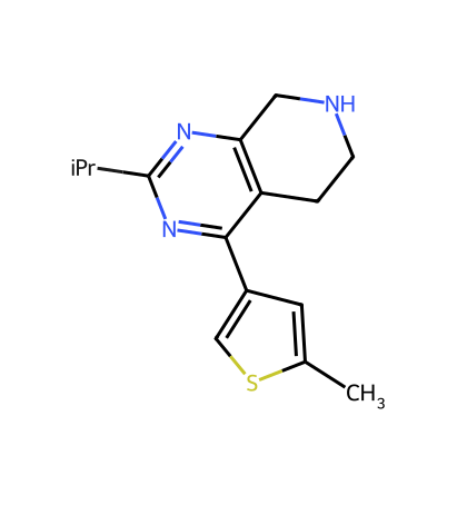 Cc1cc(-c2nc(C(C)C)nc3c2CCNC3)cs1